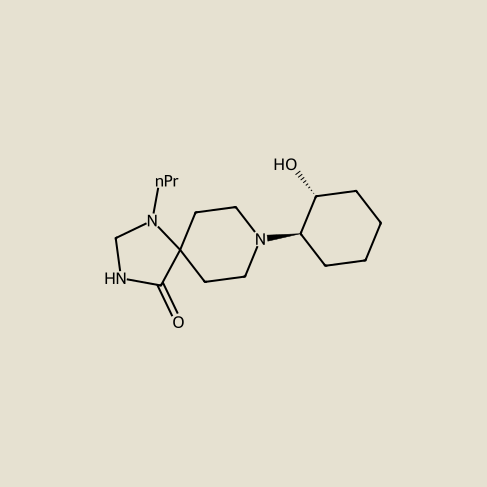 CCCN1CNC(=O)C12CCN([C@@H]1CCCC[C@H]1O)CC2